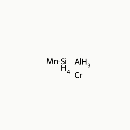 [AlH3].[Cr].[Mn].[SiH4]